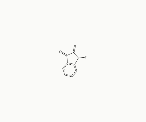 C=C1C(=O)c2ccccc2C1F